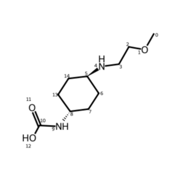 COCCN[C@H]1CC[C@H](NC(=O)O)CC1